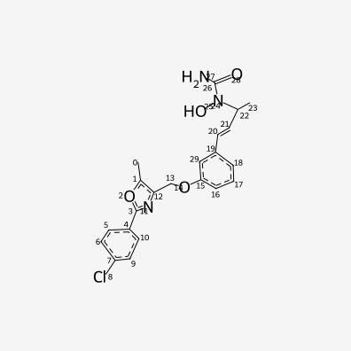 Cc1oc(-c2ccc(Cl)cc2)nc1COc1cccc(C=CC(C)N(O)C(N)=O)c1